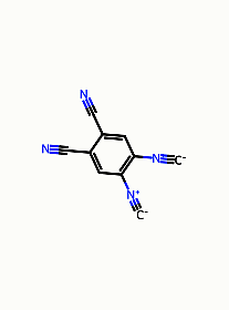 [C-]#[N+]c1cc(C#N)c(C#N)cc1[N+]#[C-]